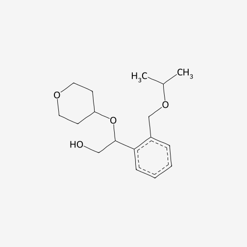 CC(C)OCc1ccccc1C(CO)OC1CCOCC1